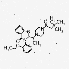 CCOc1ccccc1-n1c(C(C)N2CCN(C(=O)CC(C)(C)C)CC2)nc2ccccc2c1=O